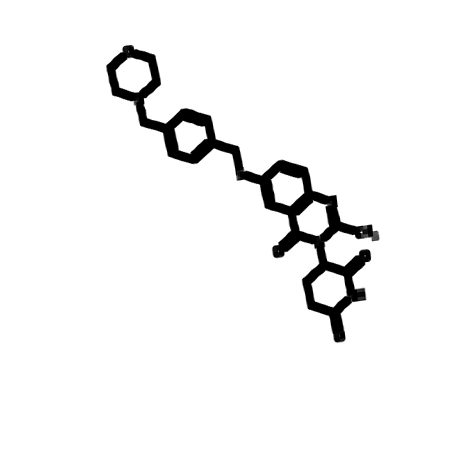 Cc1nc2ccc(SCc3ccc(CN4CCOCC4)cc3)cc2c(=O)n1C1CCC(=O)NC1=O